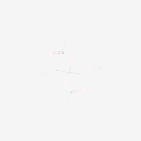 C=CCC(CO[SiH3])(OC(C)=O)OC(C)=O